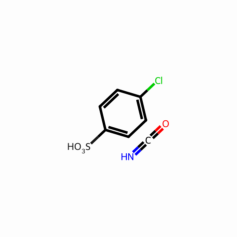 N=C=O.O=S(=O)(O)c1ccc(Cl)cc1